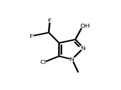 Cn1nc(O)c(C(F)F)c1Cl